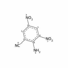 N#Cc1cc([N+](=O)[O-])cc([N+](=O)[O-])c1N